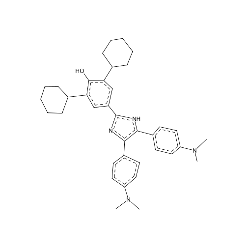 CN(C)c1ccc(-c2nc(-c3cc(C4CCCCC4)c(O)c(C4CCCCC4)c3)[nH]c2-c2ccc(N(C)C)cc2)cc1